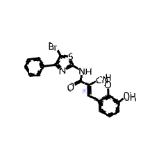 N#C/C(=C\c1cccc(O)c1O)C(=O)Nc1nc(-c2ccccc2)c(Br)s1